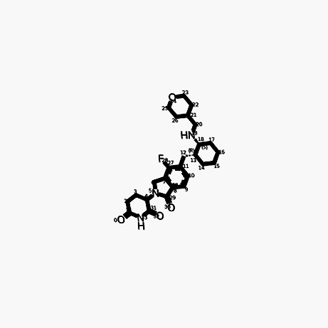 O=C1CCC(N2Cc3c(ccc(C[C@H]4CCCC[C@@H]4NCC4CCOCC4)c3F)C2=O)C(=O)N1